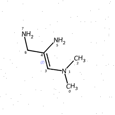 CN(C)/C=C(\N)CN